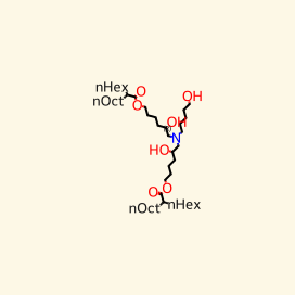 CCCCCCCCC(CCCCCC)C(=O)OCCCCC(O)CN(CCCCCO)C[C@H](O)CCCCOC(=O)C(CCCCCC)CCCCCCCC